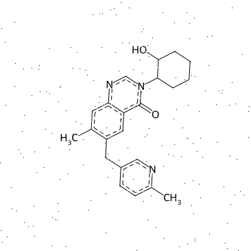 Cc1ccc(Cc2cc3c(=O)n(C4CCCCC4O)cnc3cc2C)cn1